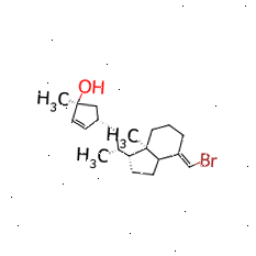 C[C@H](C[C@@H]1C=C[C@@](C)(O)C1)[C@H]1CCC2/C(=C/Br)CCC[C@@]21C